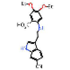 CCOc1cc(NCCc2c[nH]c3cc(C#N)ccc23)c(C(=O)O)cc1OCC